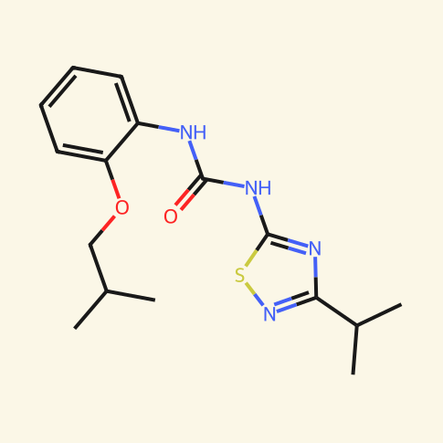 CC(C)COc1ccccc1NC(=O)Nc1nc(C(C)C)ns1